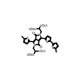 CCCCCCCCCCC(CCCCCCCC)CN1C(=O)C2=C(c3ccc(-c4ccc(C)s4)s3)N(CC(CCCCCCCC)CCCCCCCCCC)C(=O)C2=C1c1ccc(C)s1